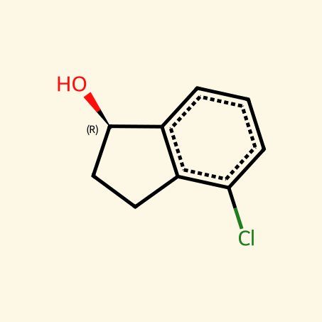 O[C@@H]1CCc2c(Cl)cccc21